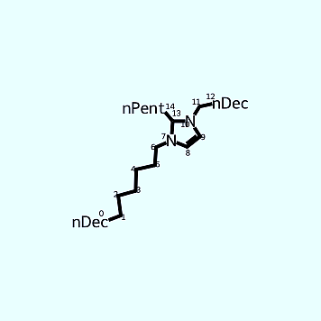 CCCCCCCCCCCCCCCCN1C=CN(CCCCCCCCCCC)C1CCCCC